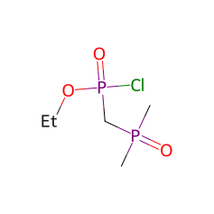 CCOP(=O)(Cl)CP(C)(C)=O